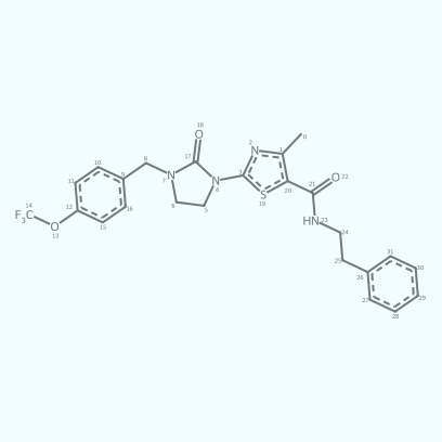 Cc1nc(N2CCN(Cc3ccc(OC(F)(F)F)cc3)C2=O)sc1C(=O)NCCc1ccccc1